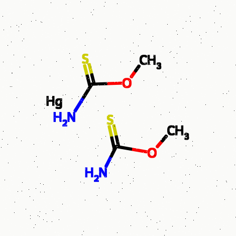 COC(N)=S.COC(N)=S.[Hg]